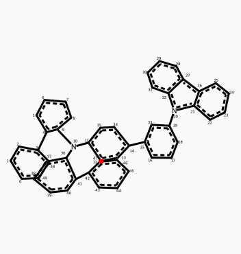 c1ccc(-c2ccccc2N(c2ccc(-c3cccc(-n4c5ccccc5c5ccccc54)c3)cc2)c2ccccc2-c2ccccc2)cc1